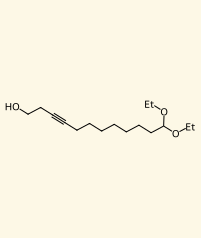 CCOC(CCCCCCCC#CCCO)OCC